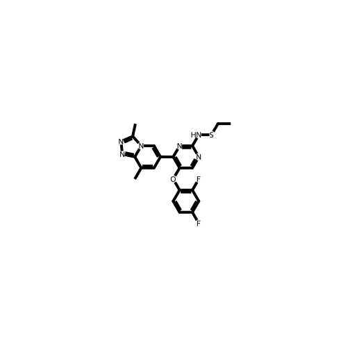 CCSNc1ncc(Oc2ccc(F)cc2F)c(-c2cc(C)c3nnc(C)n3c2)n1